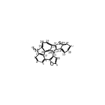 In1c2cccc3c4occc4n4c5c6ccccc6sc5c5ccc1c(c32)c54